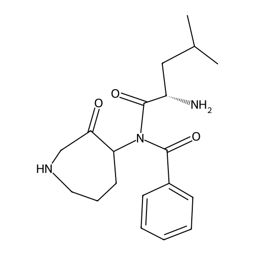 CC(C)C[C@H](N)C(=O)N(C(=O)c1ccccc1)C1CCCNCC1=O